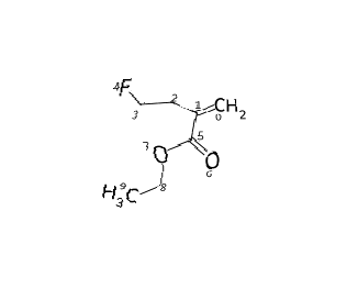 C=C(CCF)C(=O)OCC